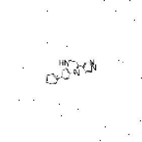 c1ccc(-c2ccc3c(c2)NCCC(c2ccnnc2)=N3)cc1